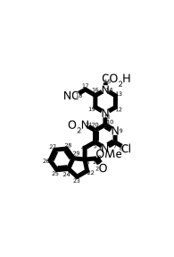 COC(=O)C1(Cc2nc(Cl)nc(N3CCN(C(=O)O)C(CC#N)C3)c2[N+](=O)[O-])CCc2ccccc21